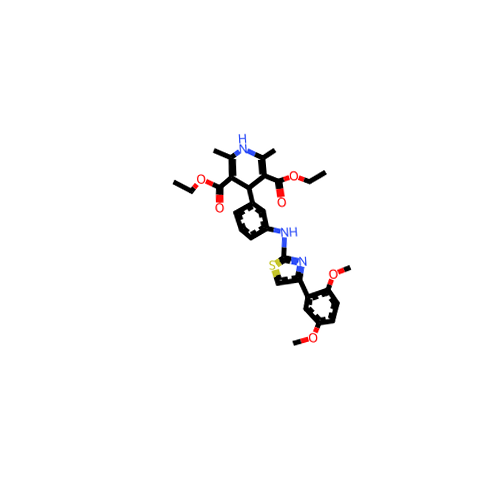 CCOC(=O)C1=C(C)NC(C)=C(C(=O)OCC)C1c1cccc(Nc2nc(-c3cc(OC)ccc3OC)cs2)c1